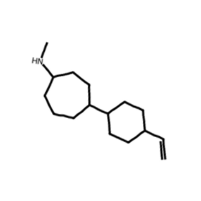 C=CC1CCC(C2CCCC(NC)CC2)CC1